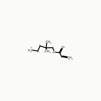 C=CC(=O)OCC(C)(C)CCN